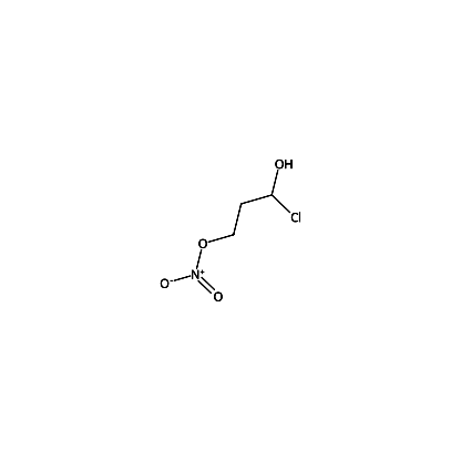 O=[N+]([O-])OCCC(O)Cl